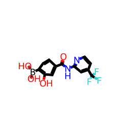 O=C(Nc1cc(C(F)(F)F)ccn1)c1ccc(B(O)O)c(O)c1